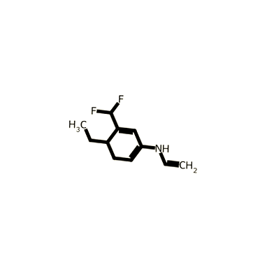 C=CNC1=CCC(CC)C(C(F)F)=C1